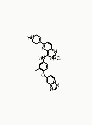 Cc1cc(Nc2ncnc3ccc(C4=CCNCC4)nc23)ccc1Oc1ccn2ncnc2c1.Cl